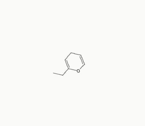 CCC1=CCC=CO1